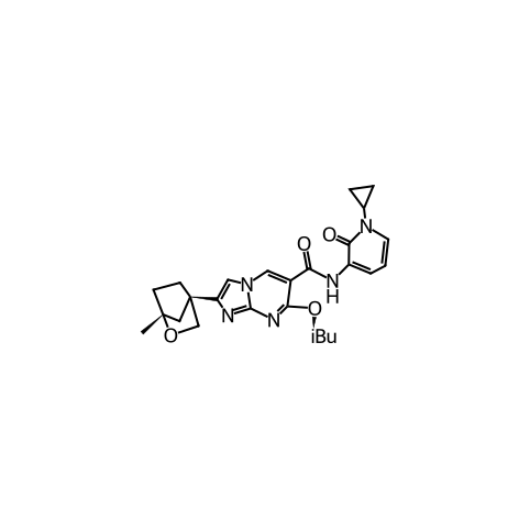 CC[C@H](C)Oc1nc2nc([C@]34CC[C@](C)(C3)OC4)cn2cc1C(=O)Nc1cccn(C2CC2)c1=O